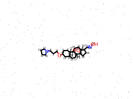 C[C@]12CCC(OCCCN3CCCC3)CC1CC[C@@H]1[C@H]2CC[C@]2(C)C(/C=N/O)CC[C@@]12O